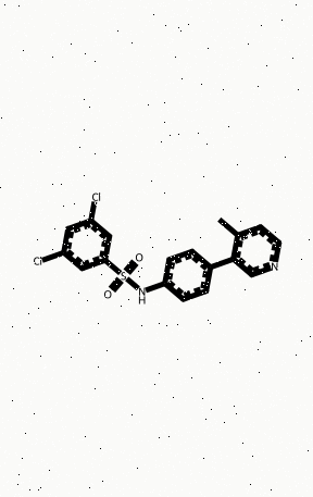 Cc1ccncc1-c1ccc(NS(=O)(=O)c2cc(Cl)cc(Cl)c2)cc1